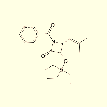 CC[Si](CC)(CC)O[C@@H]1C(=O)N(C(=O)c2ccccc2)[C@@H]1C=C(C)C